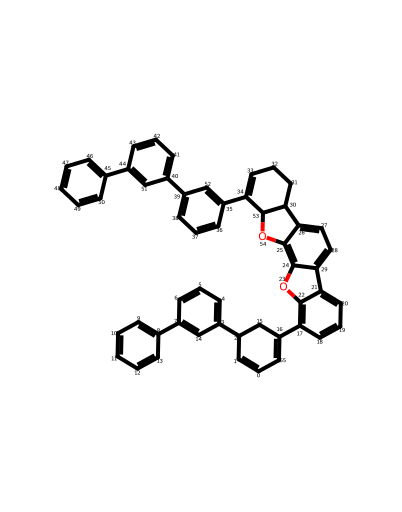 C1=CC(c2cccc(-c3ccccc3)c2)CC(c2cccc3c2oc2c4c(ccc23)C2CCC=C(c3cccc(-c5cccc(-c6ccccc6)c5)c3)C2O4)=C1